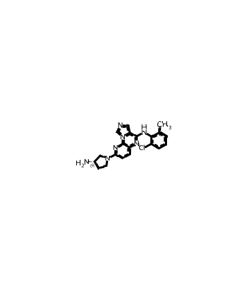 Cc1cccc(Cl)c1Nc1nc2ccc(N3CC[C@H](N)C3)nc2n2cncc12